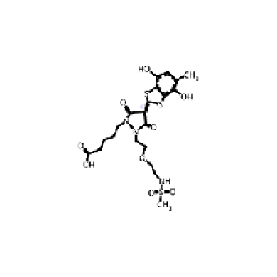 Cc1cc(O)c2c(c1O)S/C(=C1/C(=O)N(CCCCC(=O)O)N(CCOCCNS(C)(=O)=O)C1=O)S2